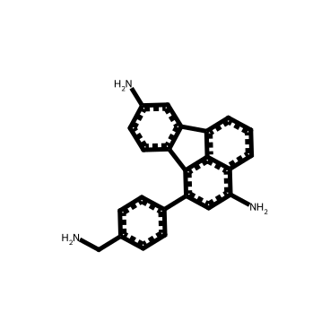 NCc1ccc(-c2cc(N)c3cccc4c3c2-c2ccc(N)cc2-4)cc1